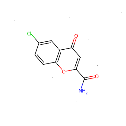 NC(=O)c1cc(=O)c2cc(Cl)ccc2o1